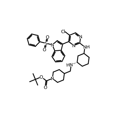 CC(C)(C)OC(=O)N1CCC(CN[C@H]2CCCC(Nc3ncc(Cl)c(-c4cn(S(=O)(=O)c5ccccc5)c5ccccc45)n3)C2)CC1